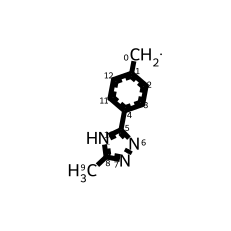 [CH2]c1ccc(-c2nnc(C)[nH]2)cc1